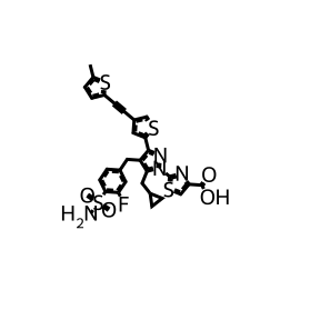 Cc1ccc(C#Cc2csc(-c3nn(-c4nc(C(=O)O)cs4)c(CC4CC4)c3Cc3ccc(S(N)(=O)=O)c(F)c3)c2)s1